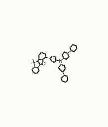 CC1(C)c2ccccc2-c2oc3c(-c4ccc(N(c5ccc(-c6ccccc6)cc5)c5ccc(-c6ccccc6)cc5)cc4)cccc3c21